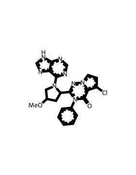 COC1CC(c2nn3ccc(Cl)c3c(=O)n2-c2ccccc2)N(c2ncnc3[nH]cnc23)C1